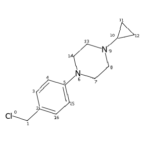 ClCc1ccc(N2CCN(C3CC3)CC2)cc1